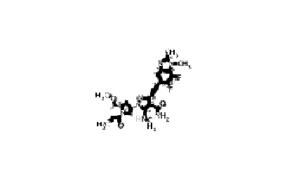 C=CC(=O)N1C[C@@H](n2nc(C#Cc3cc4nc(C)n(C)c4c(F)c3F)c(C(N)=O)c2NC)C[C@@H]1COC